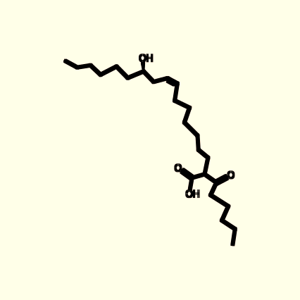 CCCCCC[C@@H](O)C/C=C\CCCCCCC(C(=O)O)C(=O)CCCCC